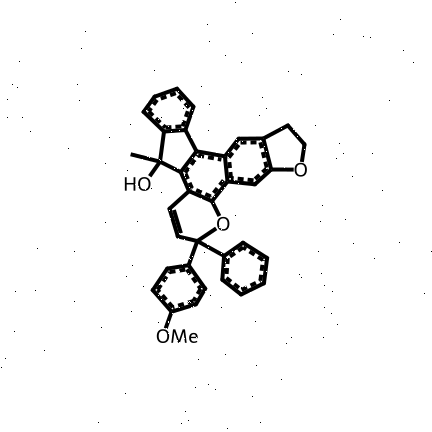 COc1ccc(C2(c3ccccc3)C=Cc3c4c(c5cc6c(cc5c3O2)OCC6)-c2ccccc2C4(C)O)cc1